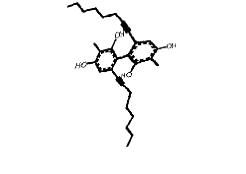 CCCCCCC#Cc1cc(O)c(C)c(O)c1-c1c(C#CCCCCCC)cc(O)c(C)c1O